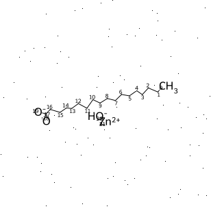 CCCCCCCCCCCCCCCCCC(=O)[O-].[OH-].[Zn+2]